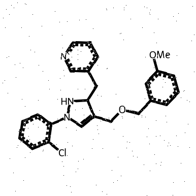 COc1cccc(COCC2=CN(c3ccccc3Cl)NC2Cc2cccnc2)c1